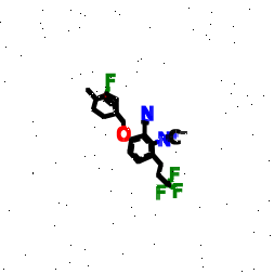 [C-]#[N+]c1c(CCC(F)(F)F)ccc(OCC23C=C(F)C(C)(CC2)CC3)c1C#N